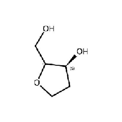 OC[C]1OCC[C@@H]1O